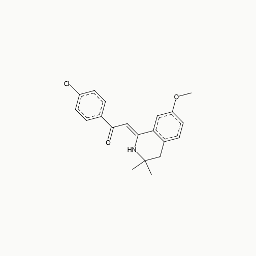 COc1ccc2c(c1)/C(=C/C(=O)c1ccc(Cl)cc1)NC(C)(C)C2